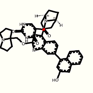 O=C(c1c[nH]c(=O)[nH]c1=O)N1[C@@H]2CC[C@H]1CN(c1nc(OCC34CCCN3CCC4)nc3cc(-c4cc(O)cc5ccccc45)ccc13)C2